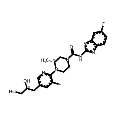 C[C@@H]1CN(C(=O)Nc2nc3ccc(F)cc3s2)CCN1c1ncc(C[C@H](O)CO)cc1F